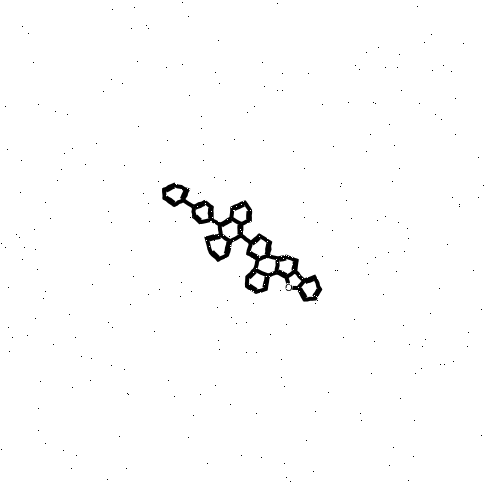 c1ccc(-c2ccc(-c3c4ccccc4c(-c4ccc5c(c4)c4ccccc4c4c5ccc5c6ccccc6oc54)c4ccccc34)cc2)cc1